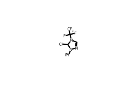 CC(C)N1N=CN(C(F)(F)C(F)(F)F)C1Cl